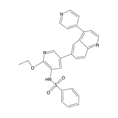 CCOc1ncc(-c2ccc3nccc(-c4ccncc4)c3c2)cc1NS(=O)(=O)c1ccccc1